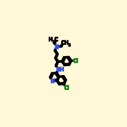 CCN(CC)CCCC(CNc1ccnc2cc(Cl)ccc12)c1ccc(Cl)cc1